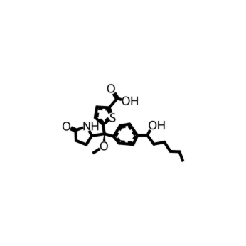 CCCCCC(O)c1ccc([C@@](OC)(c2ccc(C(=O)O)s2)C2CCC(=O)N2)cc1